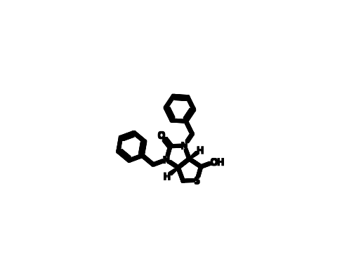 O=C1N(Cc2ccccc2)[C@@H]2C(O)SC[C@@H]2N1Cc1ccccc1